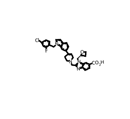 O=C(O)c1ccc2nc(CN3CC=C(c4ccc5ccn(Cc6ccc(Cl)cc6F)c5c4)CC3)n(C[C@@H]3CCO3)c2c1